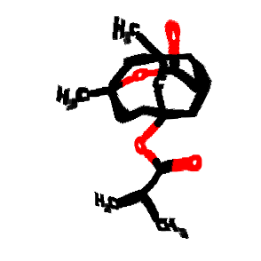 C=C(C)C(=O)OC12CC3CC(C)(CC(C)(C1)OC3=O)C2